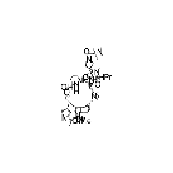 CCn1c(-c2cccnc2[C@H](C)OC)c2c3cc(ccc31)C1CSC(=N1)C[C@H](NC(=O)[C@H](C(C)C)N(C)C(=O)[C@H]1CCN(C(=O)C(C)(C)N(C)C)C1)C(=O)N1CCC[C@H](N1)C(=O)OCC(C)(C)C2